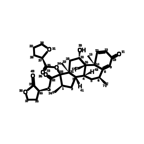 C[C@@H]1C[C@H]2[C@@H]3C[C@H](F)C4=CC(=O)C=C[C@]4(C)[C@@]3(F)[C@@H](O)C[C@]2(C)[C@@]1(OC(=O)[C@H]1CCCO1)C(=O)S[C@H]1CCOC1=O